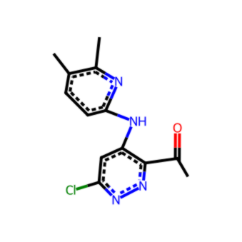 CC(=O)c1nnc(Cl)cc1Nc1ccc(C)c(C)n1